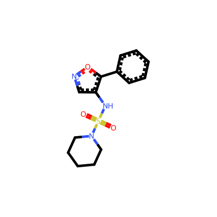 O=S(=O)(Nc1cnoc1-c1ccccc1)N1CCCCC1